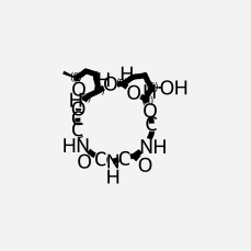 C[C@H]1CC[C@@H]2O[C@H]3CC[C@H](O)[C@H](OCCNC(=O)CNCC(=O)NCCO[C@@H]2O1)O3